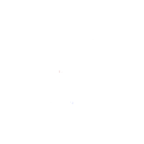 Br.CCCCCCCCCCCCCCC(N)C(C)(C)C